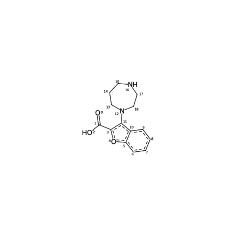 O=C(O)c1oc2ccccc2c1N1CCCNCC1